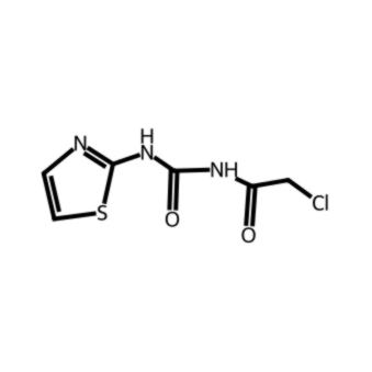 O=C(CCl)NC(=O)Nc1nccs1